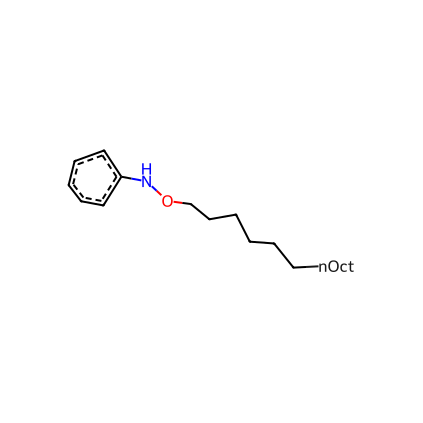 CCCCCCCCCCCCCCONc1ccccc1